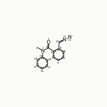 CN(C(=O)c1ccccc1C=[N+]=[N-])c1ccccc1